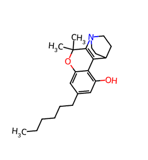 CCCCCCc1cc(O)c2c(c1)OC(C)(C)C1=C2C2CCN1CC2